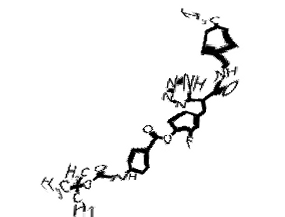 Cc1ccc(CNC(=O)C(Cc2ccc(OC(=O)c3ccc(NC(=O)OC(C)(C)C)cc3)c(F)c2)c2nnn[nH]2)cc1